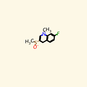 CN1C=C([S+](C)[O-])Cc2ccc(F)cc21